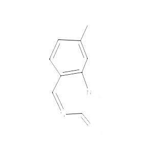 C=C/N=C\c1ccc(C)cc1N